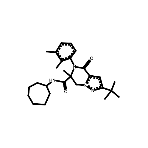 Cc1cccc(N2C(=O)c3cc(C(C)(C)C)nn3CC2(C)C(=O)NC2CCCCCC2)c1C